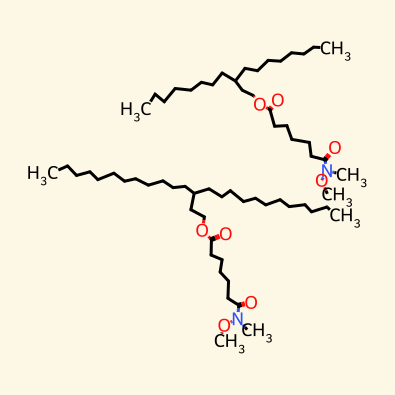 CCCCCCCCC(CCCCCCCC)CCOC(=O)CCCCCC(=O)N(C)OC.CCCCCCCCCCCCC(CCCCCCCCCCCC)CCOC(=O)CCCCCC(=O)N(C)OC